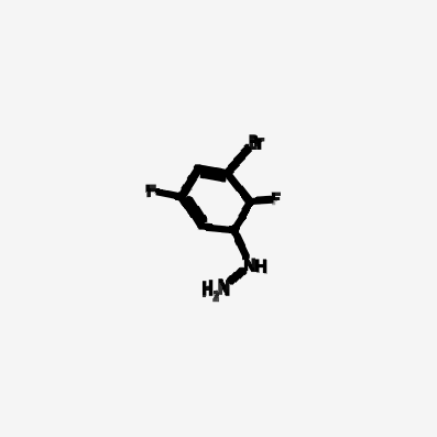 NNC1C=C(F)C=C(Br)C1F